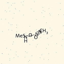 CSNCCOCCC(=O)N1CCN(C)CC1